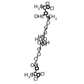 CN(CCOCCOCCOCCNC(=O)C(O)C(O)C(=O)NCCOCCOCCOCCN1Cc2ccc(C3CN(C)Cc4c(Cl)cc(Cl)cc43)cc2C1=O)Cc1ccc(C2CN(C)Cc3c(Cl)cc(Cl)cc32)cc1C=O